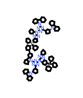 c1ccc([Si](c2ccccc2)(c2cccc(-c3ccc4c(c3)c3ccccc3n4-c3nc(-c4cccc(-n5c6ccccc6c6ccccc65)c4)nc(-n4c5ccc([Si](c6ccccc6)(c6ccccc6)c6ccccc6)cc5n5c6ccccc6nc45)n3)c2)c2ccc3nc4n(-c5nc(-c6cccc(-n7c8ccccc8c8ccccc87)c6)nc(-n6c7ccccc7c7ccccc76)n5)c5ccccc5n4c3c2)cc1